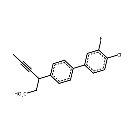 CC#CC(CC(=O)O)c1ccc(-c2ccc(Cl)c(F)c2)cc1